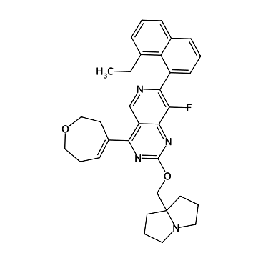 CCc1cccc2cccc(-c3ncc4c(C5=CCCOCC5)nc(OCC56CCCN5CCC6)nc4c3F)c12